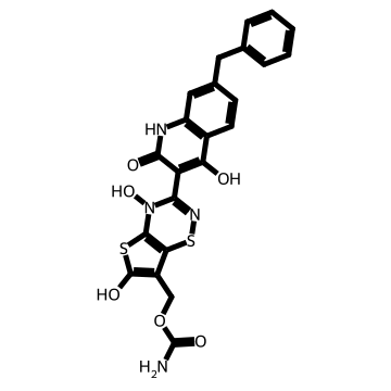 NC(=O)OCc1c(O)sc2c1SN=C(c1c(O)c3ccc(Cc4ccccc4)cc3[nH]c1=O)N2O